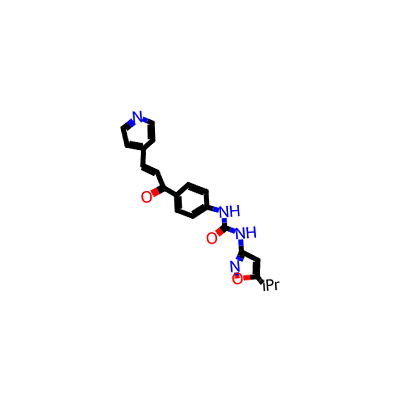 CC(C)c1cc(NC(=O)Nc2ccc(C(=O)C=Cc3ccncc3)cc2)no1